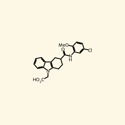 COc1ccc(Cl)cc1NC(=O)C1CCc2c(c3ccccc3n2CC(=O)O)C1